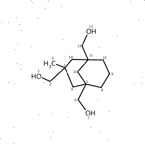 CC1(CO)CC2(CO)CCCC(CO)(C1)C2